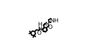 CC1(C)CC(CC(=O)Nc2cccc3c(=O)n([C@@H]4CCNC4)ccc23)CC(C)(C)C1